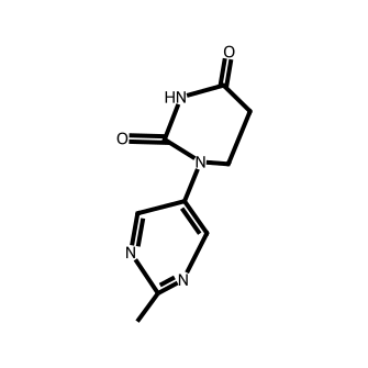 Cc1ncc(N2CCC(=O)NC2=O)cn1